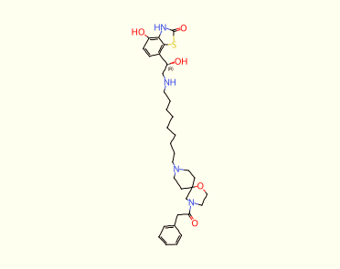 O=C(Cc1ccccc1)N1CCOC2(CCN(CCCCCCCCCNC[C@H](O)c3ccc(O)c4[nH]c(=O)sc34)CC2)C1